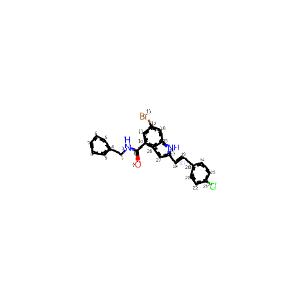 O=C(NCc1ccccc1)c1cc(Br)cc2[nH]c(/C=C/c3ccc(Cl)cc3)cc12